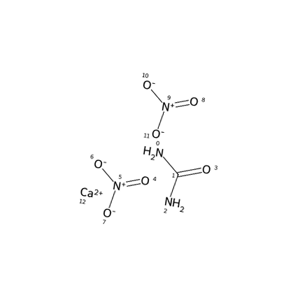 NC(N)=O.O=[N+]([O-])[O-].O=[N+]([O-])[O-].[Ca+2]